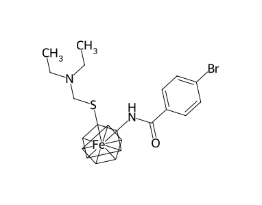 CCN(CC)CS[C]12[CH]3[CH]4[CH]5[C]1(NC(=O)c1ccc(Br)cc1)[Fe]45321678[CH]2[CH]1[CH]6[CH]7[CH]28